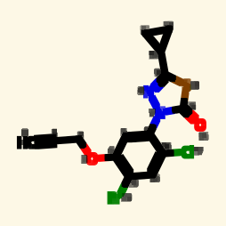 C#CCOc1cc(-n2nc(C3CC3)sc2=O)c(Cl)cc1Br